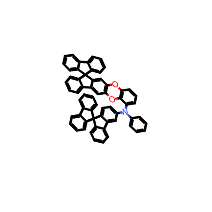 c1ccc(N(c2ccc3c(c2)-c2ccccc2C32c3ccccc3-c3ccccc32)c2cccc3c2Oc2cc4c(cc2O3)C2(c3ccccc3-c3ccccc32)c2ccccc2-4)cc1